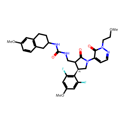 COCCn1nccc(N2C[C@@H](c3c(F)cc(OC)cc3F)C(CNC(=O)NC3CCc4cc(OC)ccc4C3)C2=O)c1=O